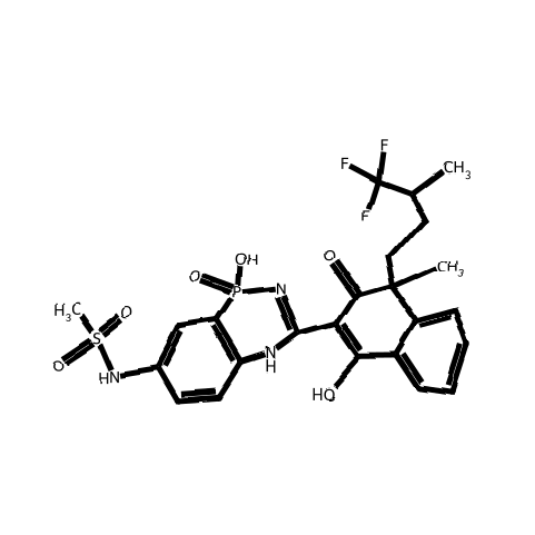 CC(CCC1(C)C(=O)C(C2=NP(=O)(O)c3cc(NS(C)(=O)=O)ccc3N2)=C(O)c2ccccc21)C(F)(F)F